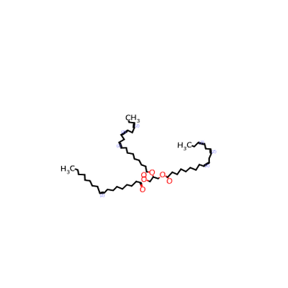 CC/C=C\C/C=C\C/C=C\CCCCCCCC(=O)OCC(COC(=O)CCCCCCC/C=C\CCCCCCCC)OC(=O)CCCCCCC/C=C\C/C=C\C/C=C\CC